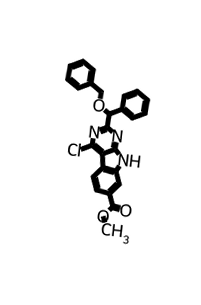 COC(=O)c1ccc2c(c1)[nH]c1nc(C(OCc3ccccc3)c3ccccc3)nc(Cl)c12